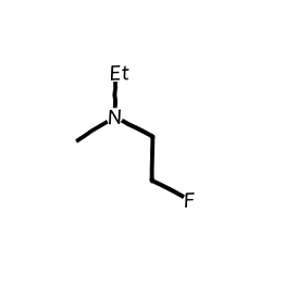 CCN(C)CCF